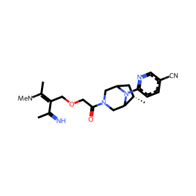 CN/C(C)=C(/COCC(=O)N1CC2C[C@H](C)C(C1)N2c1ccc(C#N)cn1)C(C)=N